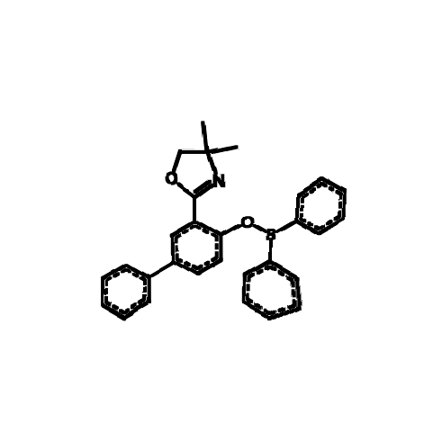 CC1(C)COC(c2cc(-c3ccccc3)ccc2OB(c2ccccc2)c2ccccc2)=N1